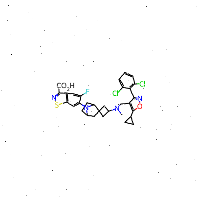 CN(Cc1c(-c2c(Cl)cccc2Cl)noc1C1CC1)C1CC2(C1)CC1CCC2N1c1cc2snc(C(=O)O)c2cc1F